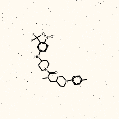 Cc1ccc(N2CCC(CN(C)C(=O)N3CCC(Nc4ccc([N+](=O)[O-])c(C(F)(F)F)c4)CC3)CC2)cc1